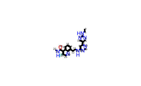 CCNc1ncc(-c2cc(NCCc3cccc4c(C(=O)NC)c(F)cnc34)ncn2)cn1